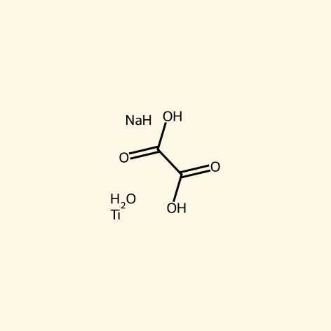 O.O=C(O)C(=O)O.[NaH].[Ti]